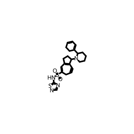 O=S(=O)(Nc1ncns1)C1=CC2=C(C#CC1)C(N1CCCCC1C1=CC=CCC1)CC2